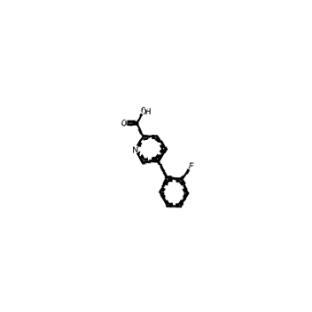 O=C(O)c1ccc(-c2ccccc2F)cn1